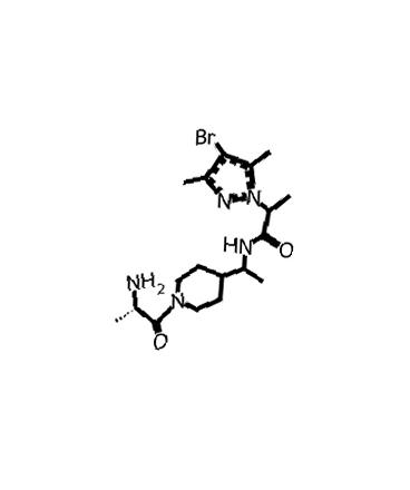 Cc1nn(C(C)C(=O)NC(C)C2CCN(C(=O)[C@H](C)N)CC2)c(C)c1Br